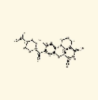 CC(=O)N1CCN(C(=O)c2cc(Cn3c4c(c(=O)[nH]c3=O)CCCC4)ccc2F)CC1